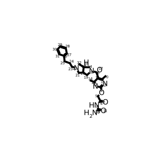 Cc1nc(OCC(=O)NC(N)=O)nc(C)c1C(=O)N1CC2CN(CC[CH]c3ccccc3)C[C@H]2C1